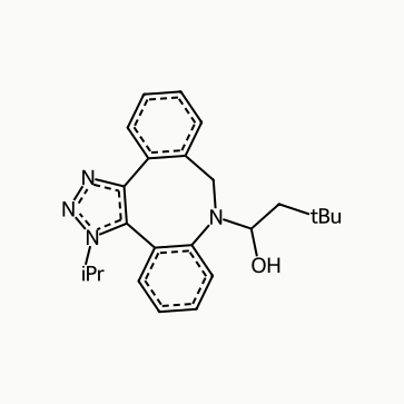 CC(C)n1nnc2c1-c1ccccc1N(C(O)CC(C)(C)C)Cc1ccccc1-2